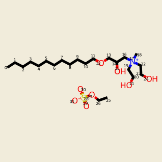 CCCCCCCCCCCCOCC(O)C[N+](C)(CCO)CCO.CCOS(=O)(=O)[O-]